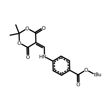 CC(C)(C)OC(=O)c1ccc(NC=C2C(=O)OC(C)(C)OC2=O)cc1